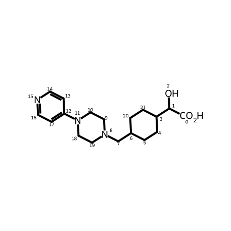 O=C(O)C(O)C1CCC(CN2CCN(c3ccncc3)CC2)CC1